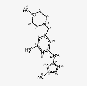 CC(=O)N1CCN(Cc2cc(C)nc(Nc3ncc(C#N)s3)c2)CC1